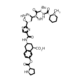 CCCO[C@H](CC(C(C)C)N(CCC)C(=O)[C@@H](NC(=O)[C@H]1CCCCN1C)[C@@H](C)CC)c1nc(C(=O)N[C@H]2Cc3ccc(OC(=O)[C@H]4CCCN4)cc3[C@H](C(=O)O)C2)cs1